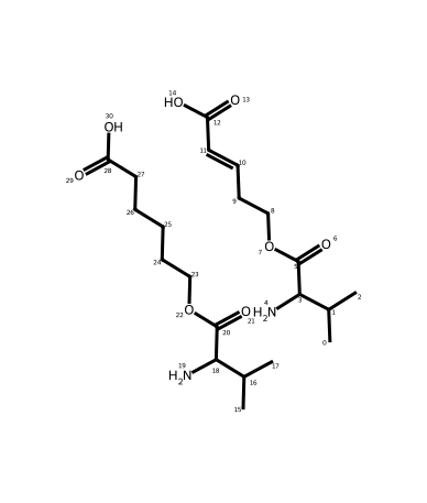 CC(C)C(N)C(=O)OCCC=CC(=O)O.CC(C)C(N)C(=O)OCCCCCC(=O)O